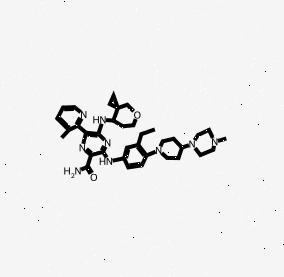 CCc1cc(Nc2nc(NC3CCOCC34CC4)c(-c3ncccc3C)nc2C(N)=O)ccc1N1CCC(N2CCN(C)CC2)CC1